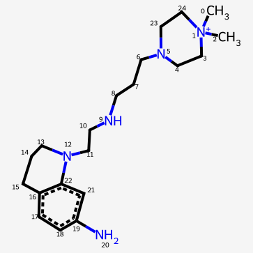 C[N+]1(C)CCN(CCCNCCN2CCCc3ccc(N)cc32)CC1